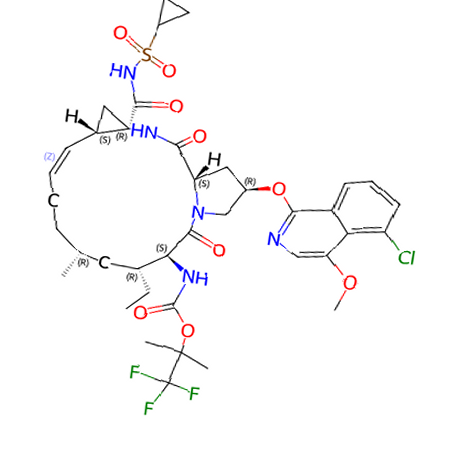 CC[C@@H]1C[C@H](C)CC/C=C\[C@@H]2C[C@@]2(C(=O)NS(=O)(=O)C2CC2)NC(=O)[C@@H]2C[C@@H](Oc3ncc(OC)c4c(Cl)cccc34)CN2C(=O)[C@H]1NC(=O)OC(C)(C)C(F)(F)F